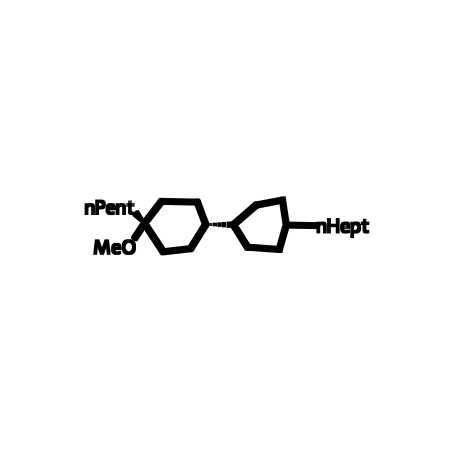 CCCCCCCC1CCC([C@H]2CC[C@@](CCCCC)(OC)CC2)CC1